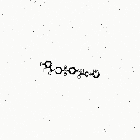 O=C(Nc1ccc(S(=O)(=O)C2CCN(C(=O)c3cccc(F)c3F)CC2)cc1)C1CN(c2cccnn2)C1